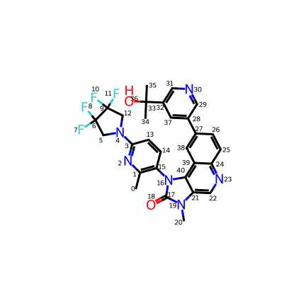 Cc1nc(N2CC(F)(F)C(F)(F)C2)ccc1-n1c(=O)n(C)c2cnc3ccc(-c4cncc(C(C)(C)O)c4)cc3c21